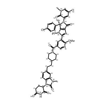 [2H][C@]1(c2ccc(Cl)cc2)c2c(nc(-c3cc(C(=O)N4CCC(CCc5ccc6c(c5)n(C)c(=O)n6C5CCC(=O)NC5=O)CC4)cnc3OC)n2C(C)C)C(=O)N1c1cc(Cl)cn(C)c1=O